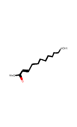 CCCCCCCCCCCCCCCC/C=C/C(=O)OC